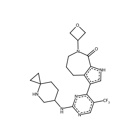 O=C1c2[nH]cc(-c3nc(NC4CCC5(CC5)NC4)ncc3C(F)(F)F)c2CCCN1C1COC1